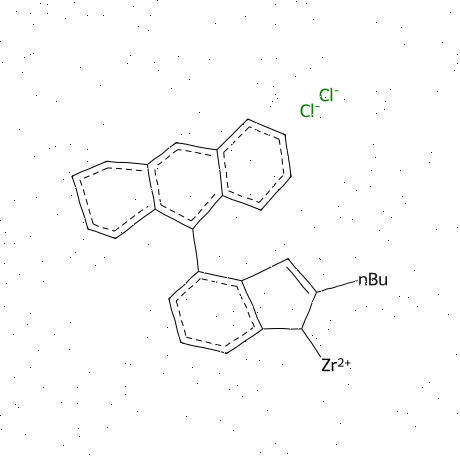 CCCCC1=Cc2c(-c3c4ccccc4cc4ccccc34)cccc2[CH]1[Zr+2].[Cl-].[Cl-]